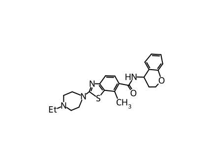 CCN1CCN(c2nc3ccc(C(=O)NC4CCOc5ccccc54)c(C)c3s2)CC1